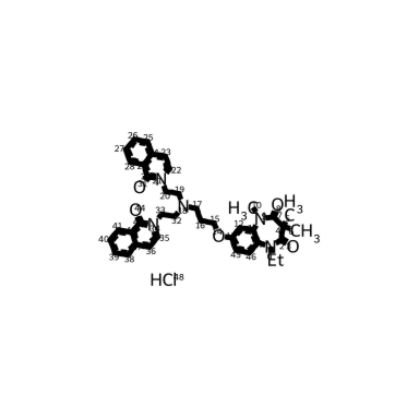 CCN1C(=O)C(C)(C)C(=O)N(C)c2cc(OCCCN(CCn3ccc4ccccc4c3=O)CCn3ccc4ccccc4c3=O)ccc21.Cl